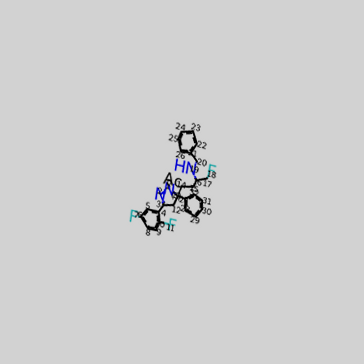 CC(=O)N1N=C(c2cc(F)ccc2F)C[C@@]1(CCC(CF)NCc1ccccc1)c1ccccc1